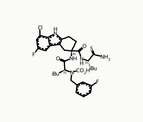 CCC(C)[C@H](NC(=O)[C@@]1(NC(=O)[C@H](C(C)CC)N(Cc2cccc(F)c2)C(=O)O)CCc2[nH]c3c(Cl)cc(F)cc3c2C1)C(N)=S